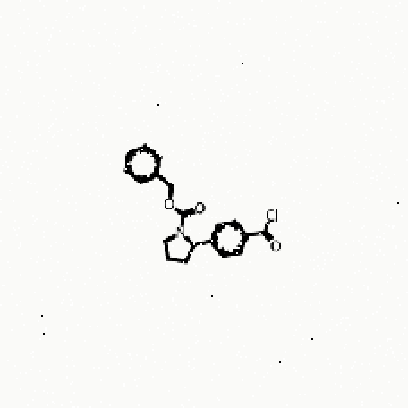 O=C(Cl)c1ccc(C2CCCN2C(=O)OCc2ccccc2)cc1